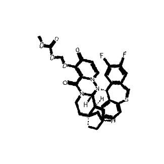 COC(=O)OCOc1c2n(ccc1=O)N([C@@H]1c3cc(F)c(F)cc3CSc3ccccc31)[C@@H]1[C@H]3C[C@@H]4CC[C@@]3(CCN1C2=O)C4